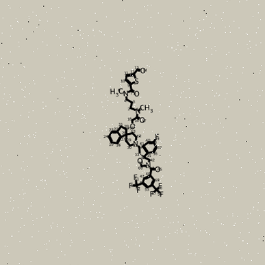 CN(CCCN(C)C(=O)c1ccc(C=O)s1)C(=O)CO[C@H]1Cc2ccccc2C12CCN(CC[C@]1(c3ccc(F)cc3)CN(C(=O)c3cc(C(F)(F)F)cc(C(F)(F)F)c3)CO1)CC2